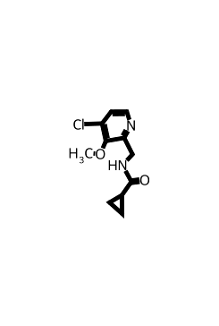 COc1c(Cl)ccnc1CNC(=O)C1CC1